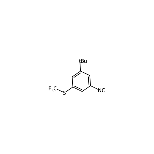 [C-]#[N+]c1cc(SC(F)(F)F)cc(C(C)(C)C)c1